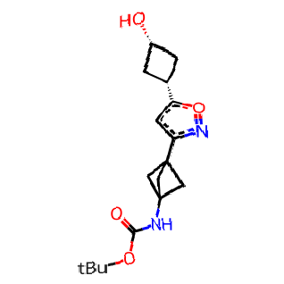 CC(C)(C)OC(=O)NC12CC(c3cc([C@H]4C[C@@H](O)C4)on3)(C1)C2